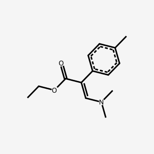 CCOC(=O)/C(=C/N(C)C)c1ccc(C)cc1